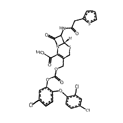 O=C(Cc1cccs1)NC1C(=O)N2C(C(=O)O)=C(COC(=O)Oc3cc(Cl)ccc3Oc3ccc(Cl)cc3Cl)CS[C@@H]12